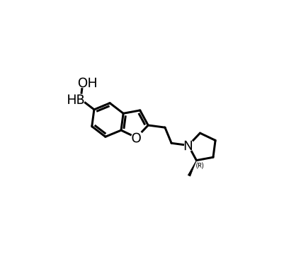 C[C@@H]1CCCN1CCc1cc2cc(BO)ccc2o1